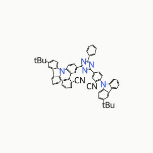 CC(C)(C)c1ccc2c(c1)c1ccccc1n2-c1ccc(-c2nc(-c3ccccc3)nc(-c3ccc(-n4c5ccccc5c5cc(C(C)(C)C)ccc54)c(-c4ccccc4C#N)c3)n2)cc1C#N